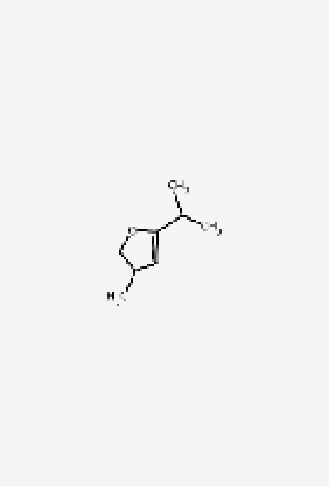 CC1C=C(C(C)C)OC1